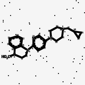 O=C(O)N1CCN(c2ccc(N3CCN(CC4CC4)CC3)cn2)c2ccccc21